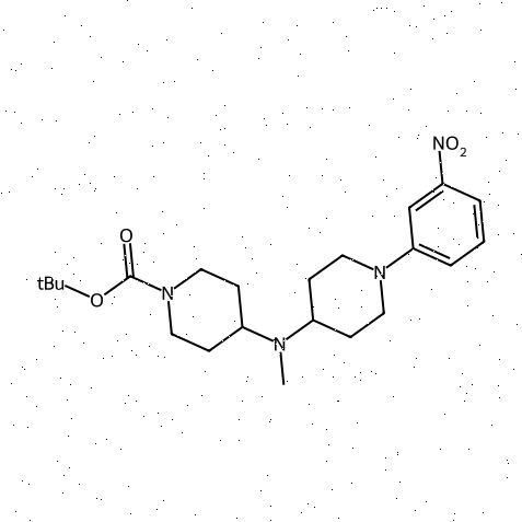 CN(C1CCN(C(=O)OC(C)(C)C)CC1)C1CCN(c2cccc([N+](=O)[O-])c2)CC1